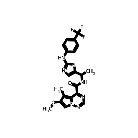 COc1cn2ncnc(C(=O)NC(C)c3cnc(Nc4ccc(C(F)(F)F)cc4)s3)c2c1C